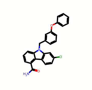 NC(=O)c1cccc2c1c1[c]cc(Cl)cc1n2Cc1cccc(Oc2ccccc2)c1